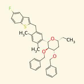 CC[C@@H]1C[C@H](OCc2ccccc2)[C@@H](OCc2ccccc2)[C@H](c2cc(Cc3cc4cc(F)ccc4s3)c(C)cc2C)O1